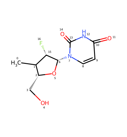 CC1[C@@H](CO)O[C@@H](n2ccc(=O)[nH]c2=O)[C@H]1F